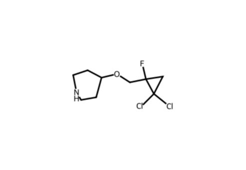 FC1(COC2CCNCC2)CC1(Cl)Cl